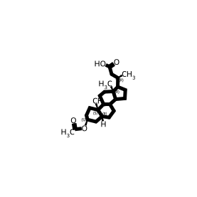 CC(=O)O[C@H]1CC[C@]2(C)C3CC[C@@]4(C)C(CCC4[C@H](C)CC(=O)O)C3CC[C@@H]2C1